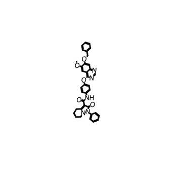 COc1cc2c(Oc3ccc(NC(=O)c4c5n(n(-c6ccccc6)c4=O)CCCC5)cc3)ncnc2cc1OCc1ccccc1